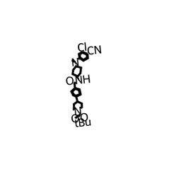 CN(c1ccc(C#N)c(Cl)c1)[C@H]1CC[C@H](NC(=O)c2ccc(C3CCN(C(=O)OC(C)(C)C)CC3)cc2)CC1